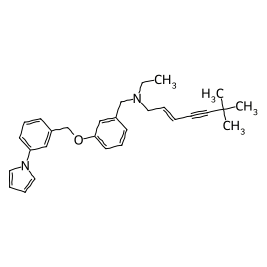 CCN(C/C=C/C#CC(C)(C)C)Cc1cccc(OCc2cccc(-n3cccc3)c2)c1